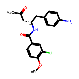 CCCOc1ccc(C(=O)N[C@H](CC(=O)OC)Cc2ccc(N)cc2)cc1Cl